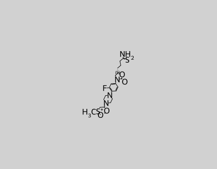 C[S+]([O-])CC(=O)N1CCN(c2ccc(N3C[C@H](CCCC(N)=S)OC3=O)cc2F)CC1